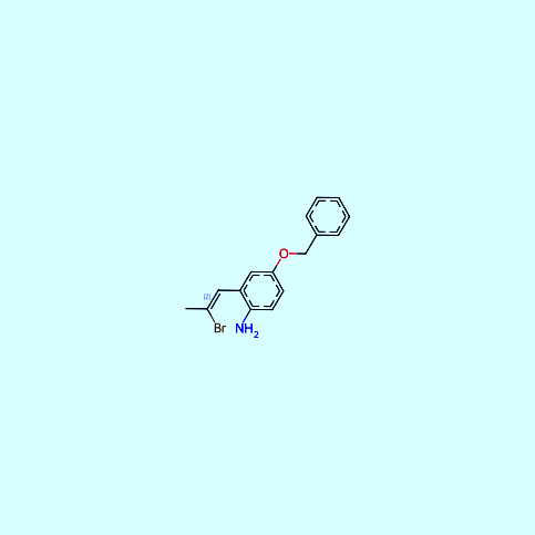 C/C(Br)=C/c1cc(OCc2ccccc2)ccc1N